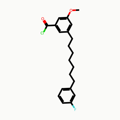 COc1cc(CCCCCCCc2cccc(F)c2)cc(C(=O)Cl)c1